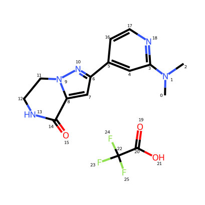 CN(C)c1cc(-c2cc3n(n2)CCNC3=O)ccn1.O=C(O)C(F)(F)F